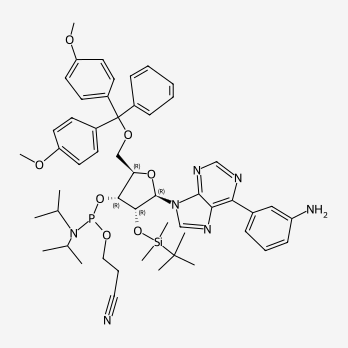 COc1ccc(C(OC[C@H]2O[C@@H](n3cnc4c(-c5cccc(N)c5)ncnc43)[C@H](O[Si](C)(C)C(C)(C)C)[C@@H]2OP(OCCC#N)N(C(C)C)C(C)C)(c2ccccc2)c2ccc(OC)cc2)cc1